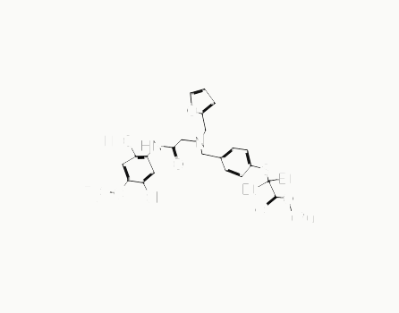 CCC(CC)(Sc1ccc(CN(CC(=O)Nc2cc(Cl)c(OC(F)(F)F)cc2C)Cc2ccco2)cc1)C(=O)OC(C)(C)C